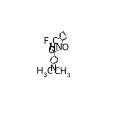 CN(C)c1ccc(C(=O)CNC(=O)c2ccccc2C(F)(F)F)cc1